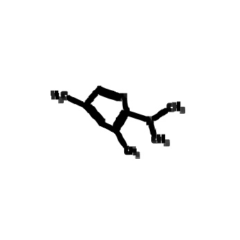 Cc1cnc(N(C)C)c(C)c1